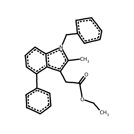 CCOC(=O)Cc1c(C)n(Cc2ccccc2)c2cccc(-c3ccccc3)c12